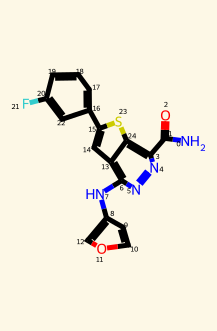 NC(=O)c1nnc(Nc2ccoc2)c2cc(-c3cccc(F)c3)sc12